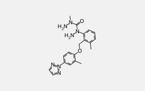 Cc1cc(-n2nccn2)ccc1OCc1c(C)cccc1N(N)C(=O)N(C)N